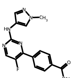 COC(=O)c1ccc(-c2nc(Nc3cnn(C)c3)ncc2F)cc1